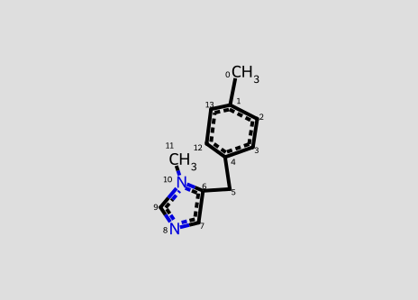 Cc1ccc(Cc2cncn2C)cc1